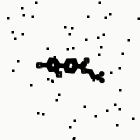 CN(C)CCOC(=O)c1ccc(-c2ccc(Cl)cc2Cl)cc1